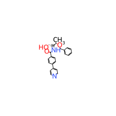 CC(OCc1ccccc1)[C@@H](CO)NC(=O)c1ccc(-c2ccncc2)cc1